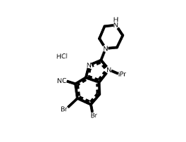 CC(C)n1c(N2CCNCC2)nc2c(C#N)c(Br)c(Br)cc21.Cl